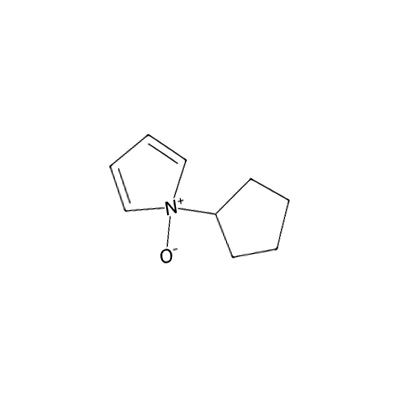 [O-][N+]1(C2CCCC2)C=CC=C1